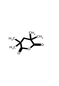 CC1(C)CC(C)(C)C(=O)OC1=O